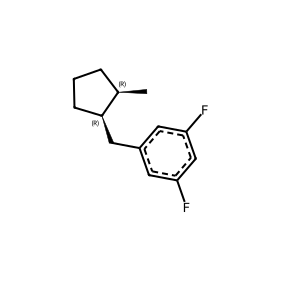 C[C@@H]1CCC[C@@H]1Cc1cc(F)cc(F)c1